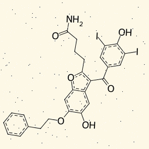 NC(=O)CCCc1oc2cc(OCCc3ccccc3)c(O)cc2c1C(=O)c1cc(I)c(O)c(I)c1